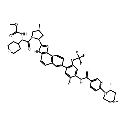 COC(=O)N[C@H](C(=O)N1C[C@@H](C)C[C@H]1c1nc2c(ccc3cc(-c4cc(Cl)c(NC(=O)c5ccc(N6CCNC[C@H]6C)nc5)cc4OC(F)(F)F)ccc32)[nH]1)C1CCOCC1